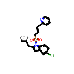 O=C(O)CCCc1cc2cc(Cl)ccc2n1S(=O)(=O)CC=Cc1ccccn1